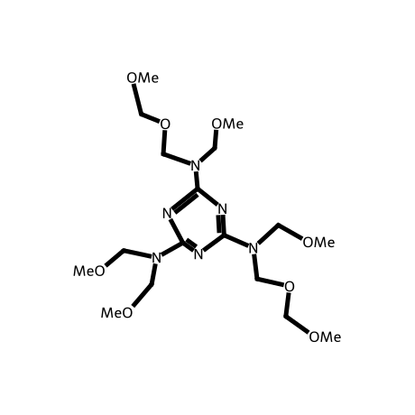 COCOCN(COC)c1nc(N(COC)COC)nc(N(COC)COCOC)n1